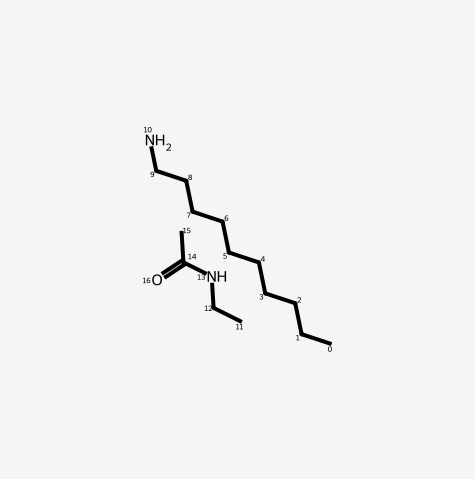 CCCCCCCCCCN.CCNC(C)=O